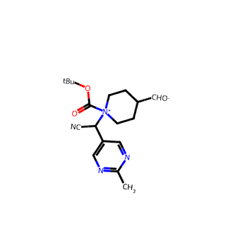 Cc1ncc(C(C#N)[N+]2(C(=O)OC(C)(C)C)CCC([C]=O)CC2)cn1